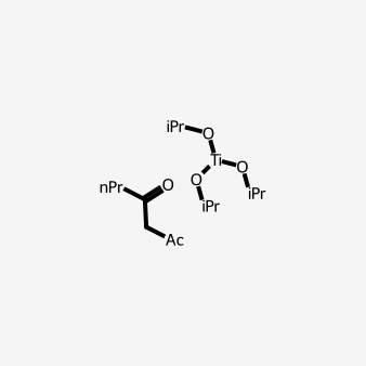 CC(C)[O][Ti]([O]C(C)C)[O]C(C)C.CCCC(=O)CC(C)=O